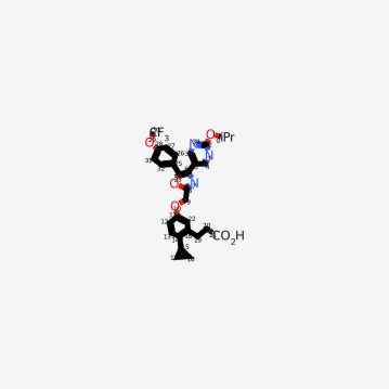 CC(C)Oc1ncc(-c2nc(COc3ccc(C4CC4)c(CCC(=O)O)c3)oc2-c2ccc(OC(F)(F)F)cc2)cn1